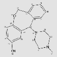 CN1CCN(C2c3ccccc3COc3ccc(C#N)cc32)CC1